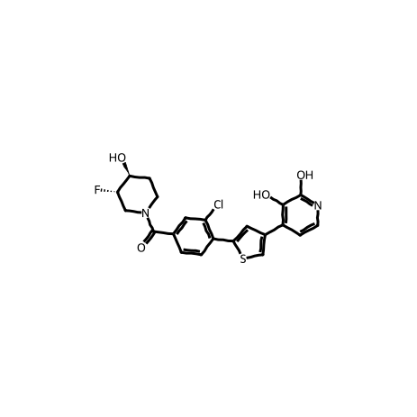 O=C(c1ccc(-c2cc(-c3ccnc(O)c3O)cs2)c(Cl)c1)N1CC[C@H](O)[C@@H](F)C1